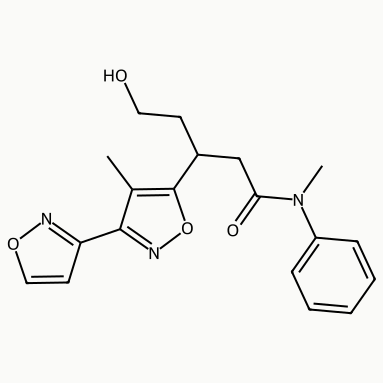 Cc1c(-c2ccon2)noc1C(CCO)CC(=O)N(C)c1ccccc1